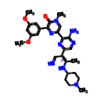 COc1cc(OC)cc(-c2nc(-c3nc(/C(C=N)=C(\C)NC4CCN(C)CC4)cnc3N)cn(C)c2=O)c1